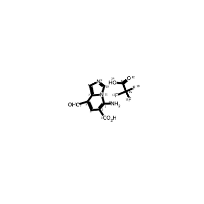 Nc1c(C(=O)O)cc(C=O)c2cncn12.O=C(O)C(F)(F)F